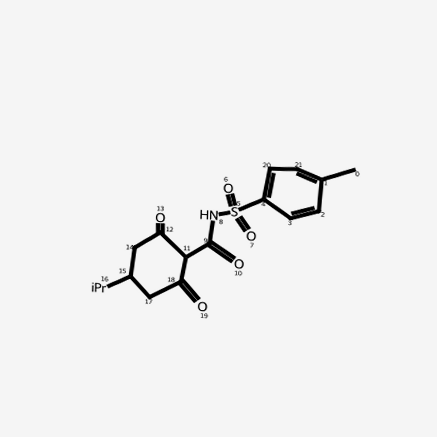 Cc1ccc(S(=O)(=O)NC(=O)C2C(=O)CC(C(C)C)CC2=O)cc1